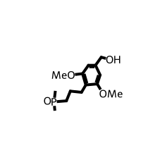 COc1cc(CO)cc(OC)c1CCCP(C)(C)=O